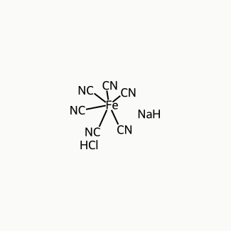 Cl.N#[C][Fe]([C]#N)([C]#N)([C]#N)([C]#N)[C]#N.[NaH]